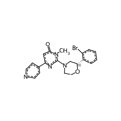 Cn1c(N2CCO[C@@H](c3ccccc3Br)C2)nc(-c2ccncc2)cc1=O